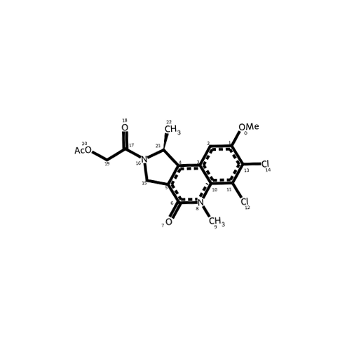 COc1cc2c3c(c(=O)n(C)c2c(Cl)c1Cl)CN(C(=O)COC(C)=O)[C@H]3C